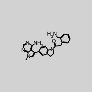 Cn1cc(-c2ccc3c(c2)CCN3C(=O)Cc2ccccc2CN)c2c(N)ncnc21